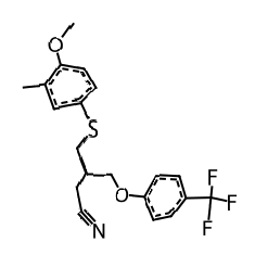 COc1ccc(SCC(CC#N)COc2ccc(C(F)(F)F)cc2)cc1C